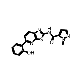 Cn1nccc1C(=O)Nc1nc2ccc(-c3ccccc3O)nc2s1